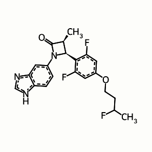 CC(F)CCOc1cc(F)c([C@@H]2[C@H](C)C(=O)N2c2ccc3[nH]cnc3c2)c(F)c1